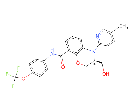 Cc1ccc(N2c3cccc(C(=O)Nc4ccc(OC(F)(F)F)cc4)c3OC[C@@H]2CO)nc1